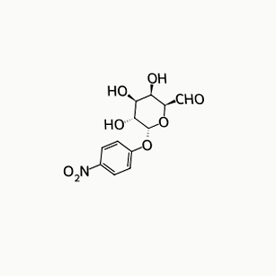 O=C[C@H]1O[C@H](Oc2ccc([N+](=O)[O-])cc2)[C@H](O)[C@@H](O)[C@H]1O